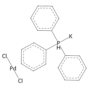 [Cl][Pd][Cl].[K][PH](c1ccccc1)(c1ccccc1)c1ccccc1